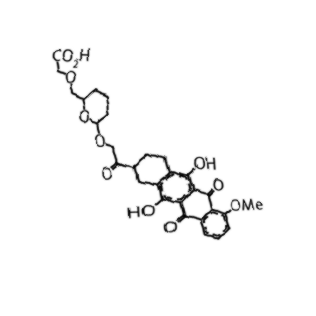 COc1cccc2c1C(=O)c1c(O)c3c(c(O)c1C2=O)C[C@@H](C(=O)COC1CCCC(COCC(=O)O)O1)CC3